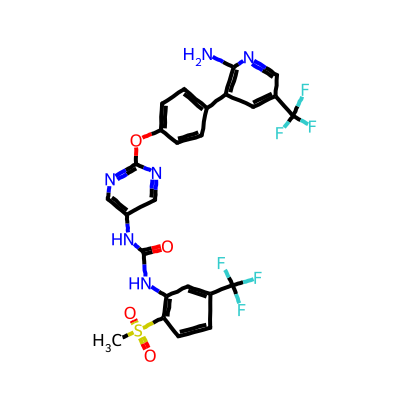 CS(=O)(=O)c1ccc(C(F)(F)F)cc1NC(=O)Nc1cnc(Oc2ccc(-c3cc(C(F)(F)F)cnc3N)cc2)nc1